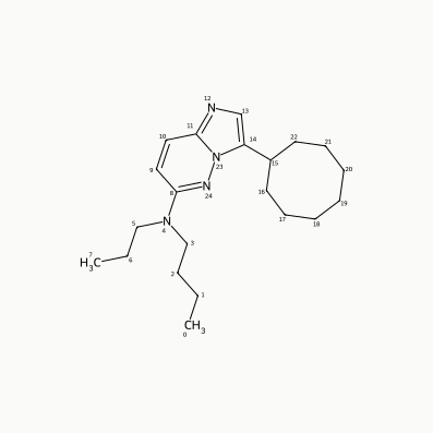 CCCCN(CCC)c1ccc2ncc(C3CCCCCCC3)n2n1